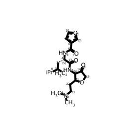 CC(C)C(C)C[C@H](NC(=O)c1ccoc1)C(=O)NC1C(=O)COC1CCN(C)C